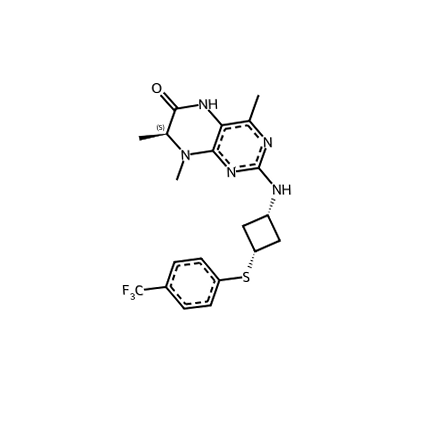 Cc1nc(N[C@H]2C[C@@H](Sc3ccc(C(F)(F)F)cc3)C2)nc2c1NC(=O)[C@H](C)N2C